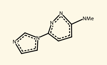 CNc1ccc(-n2ccnc2)nn1